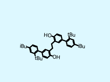 CCC(C)c1ccc(-c2ccc(O)c(CCc3cc(-c4ccc(C(C)CC)cc4C(C)(C)C)ccc3O)c2)c(C(C)(C)C)c1